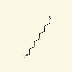 S=CCCC[CH]CCCC=S